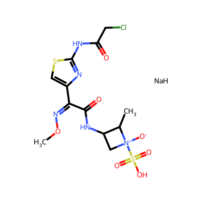 CO/N=C(\C(=O)NC1C[N+]([O-])(S(=O)(=O)O)C1C)c1csc(NC(=O)CCl)n1.[NaH]